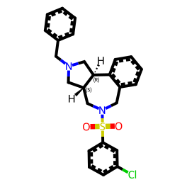 O=S(=O)(c1cccc(Cl)c1)N1Cc2ccccc2[C@@H]2CN(Cc3ccccc3)C[C@H]2C1